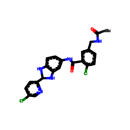 CC(C)(C)C(=O)NCc1ccc(Cl)c(C(=O)Nc2ccc3c(c2)NC(c2ccc(Cl)cn2)N3)c1